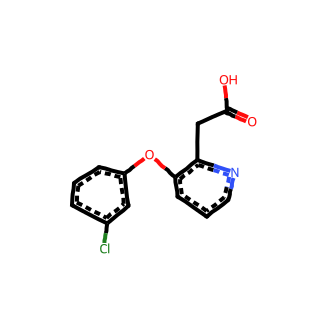 O=C(O)Cc1ncccc1Oc1cccc(Cl)c1